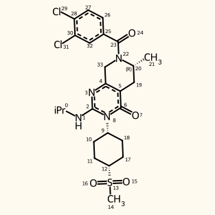 CC(C)Nc1nc2c(c(=O)n1[C@H]1CC[C@@H](S(C)(=O)=O)CC1)C[C@@H](C)N(C(=O)c1ccc(Cl)c(Cl)c1)C2